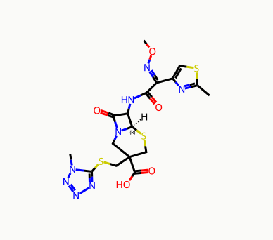 CON=C(C(=O)NC1C(=O)N2CC(CSc3nnnn3C)(C(=O)O)CS[C@H]12)c1csc(C)n1